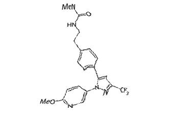 CNC(=O)NCCc1ccc(-c2cc(C(F)(F)F)nn2-c2ccc(OC)nc2)cc1